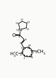 Cc1ccc(C)c(C=CC(=O)N2CCCC2)c1